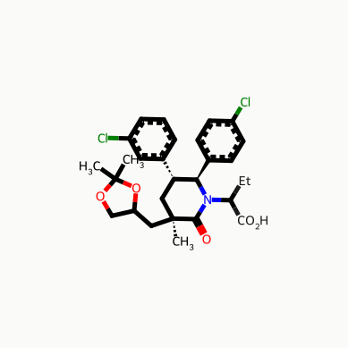 CCC(C(=O)O)N1C(=O)[C@@](C)(CC2COC(C)(C)O2)C[C@H](c2cccc(Cl)c2)[C@H]1c1ccc(Cl)cc1